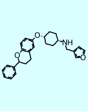 c1ccc(C2CCc3cc(O[C@H]4CC[C@H](NCc5ccoc5)CC4)ccc3O2)cc1